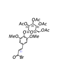 COc1cc(/C=C/C(=O)Br)cc(OC)c1O[C@H]1O[C@H](COC(C)=O)[C@@H](OC(C)=O)[C@H](OC(C)=O)[C@@H]1OC(C)=O